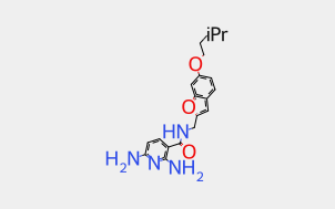 CC(C)CCOc1ccc2cc(CNC(=O)c3ccc(N)nc3N)oc2c1